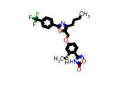 CBc1cc(OCc2sc(-c3ccc(C(F)(F)F)cc3)nc2CCCC)ccc1-c1noc(=O)[nH]1